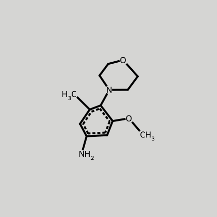 COc1cc(N)cc(C)c1N1CCOCC1